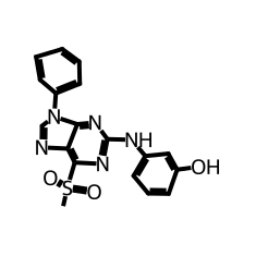 CS(=O)(=O)c1nc(Nc2cccc(O)c2)nc2c1ncn2-c1ccccc1